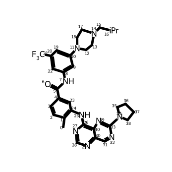 Cc1ccc(C(=O)Nc2cc(N3CCN(CC(C)C)CC3)cc(C(F)(F)F)c2)cc1Nc1ncnc2cnc(N3CCCC3)nc12